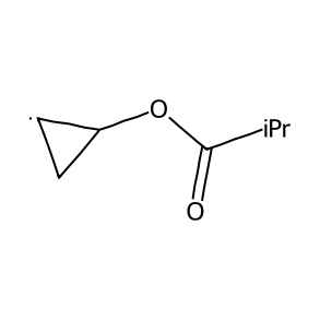 CC(C)C(=O)OC1[CH]C1